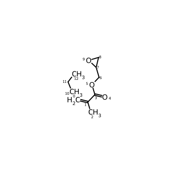 C=C(C)C(=O)OCC1CO1.CCC